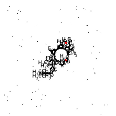 CCn1c(-c2cccnc2[C@H](C)OC)c2c3cc(ccc31)-c1cc(CF)cc(c1)C[C@H](NC(=O)[C@H](C(C)C)N(C)C(=O)[C@H]1CCN(C(=O)C#CC(C)(C)N(C)C)C1)C(=O)N1CCC[C@H](N1)C(=O)OCC(C)(C)C2